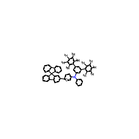 [2H]c1c([2H])c([2H])c(-c2cc(-c3c([2H])c([2H])c([2H])c([2H])c3[2H])cc(N(c3ccccc3)c3ccc(-c4ccc5c(c4)C4(c6ccccc6-c6ccccc64)c4ccccc4-5)cc3)c2)c([2H])c1[2H]